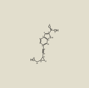 O=C(O)c1cc2ccc(C#CC3CC3CO)cc2s1